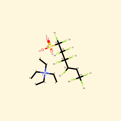 CC[N+](CC)(CC)CC.O=S(=O)([O-])C(F)(F)C(F)(F)C(F)(F)C(F)CC(F)(F)F